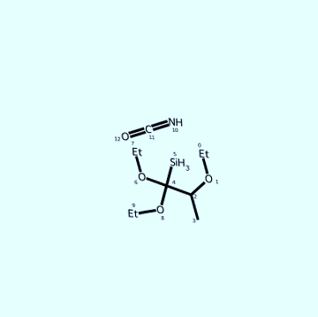 CCOC(C)C([SiH3])(OCC)OCC.N=C=O